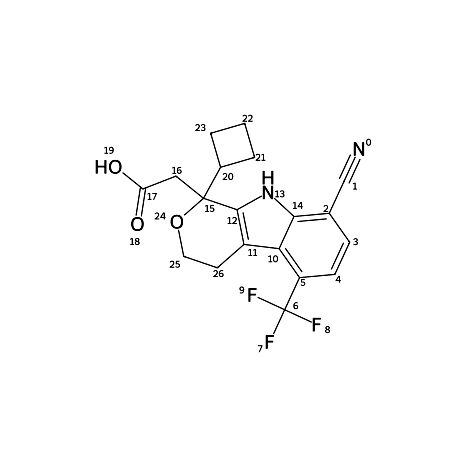 N#Cc1ccc(C(F)(F)F)c2c3c([nH]c12)C(CC(=O)O)(C1CCC1)OCC3